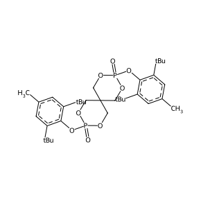 Cc1cc(C(C)(C)C)c(OP2(=O)OCC3(CO2)COP(=O)(Oc2c(C(C)(C)C)cc(C)cc2C(C)(C)C)OC3)c(C(C)(C)C)c1